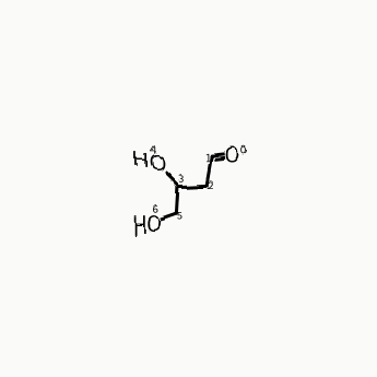 O=CCC(O)CO